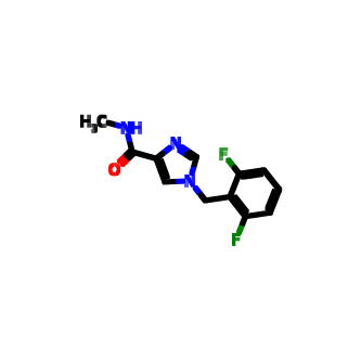 CNC(=O)c1cn(Cc2c(F)cccc2F)cn1